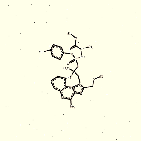 CCOCc1nc2c(N)nc3ccccc3c2n1CC(C)(O)O[P@](=O)(N[C@@H](C)C(=O)OC(C)C)Oc1ccc(C(F)(F)F)cc1